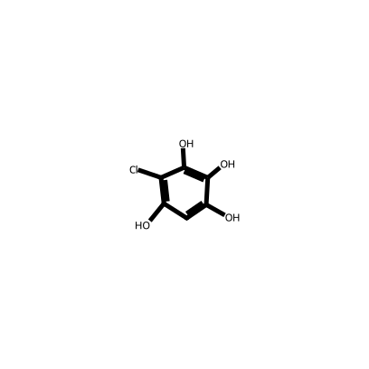 Oc1cc(O)c(Cl)c(O)c1O